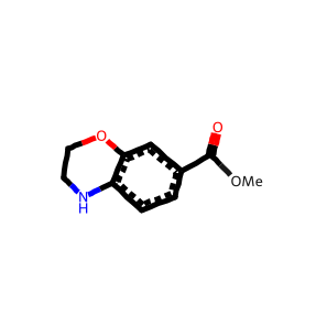 COC(=O)c1ccc2c(c1)OCCN2